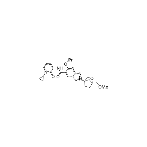 COC[C@]12CC[C@](n3cc4cc(C(=O)Nc5cccn(C6CC6)c5=O)c(OC(C)C)nc4n3)(CO1)C2